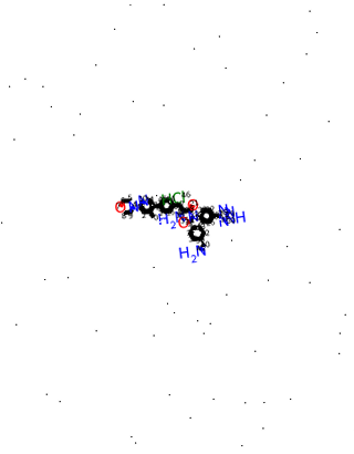 Cc1cc(N2CCOCC2)ncc1-c1ccc(C[C@H](N)C(=O)N(c2ccc(-c3nn[nH]n3)cc2)C(=O)[C@H]2CC[C@H](CN)CC2)cc1.Cl